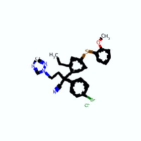 CCc1cc(Sc2ccccc2OC)ccc1C(C#N)(CCN1C=N[C+]=N1)c1ccc(Br)cc1.[Cl-]